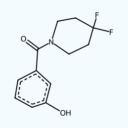 O=C(c1cccc(O)c1)N1CCC(F)(F)CC1